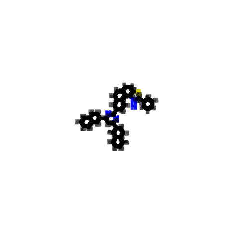 c1ccc(C2Nc3c(ccc4ccc5cc(-c6nc(-c7ccc8ccccc8c7)cc(-c7ccc8ccccc8c7)n6)ccc5c34)S2)cc1